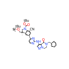 CC(C)(C)OC(=O)N1C[C@](C)(CO[Si](C)(C)C(C)(C)C)c2cc(-c3ccnc(Nc4cnn5c4C(=O)N(Cc4ccccc4)CC5)n3)cc(C#N)c21